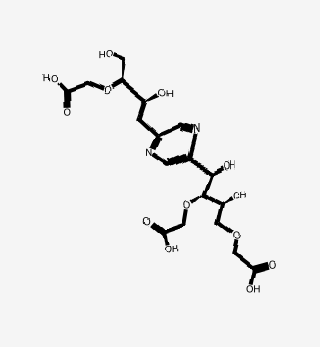 O=C(O)COC[C@H](O)[C@@H](OCC(=O)O)C(O)c1cnc(C[C@H](O)[C@H](CO)OCC(=O)O)cn1